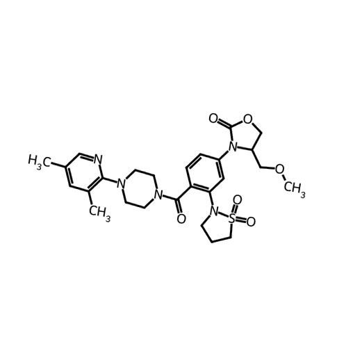 COCC1COC(=O)N1c1ccc(C(=O)N2CCN(c3ncc(C)cc3C)CC2)c(N2CCCS2(=O)=O)c1